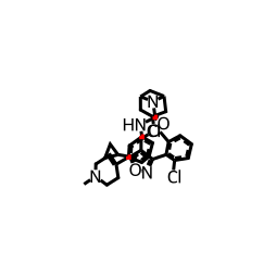 CN1CC=C(c2cccc(NC(=O)N3C4CC(OCc5c(-c6c(Cl)cccc6Cl)noc5C5CC5)CC3C4)c2)CC1